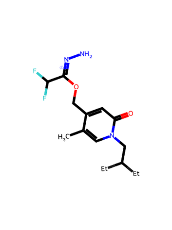 CCC(CC)Cn1cc(C)c(CO/C(=N\N)C(F)F)cc1=O